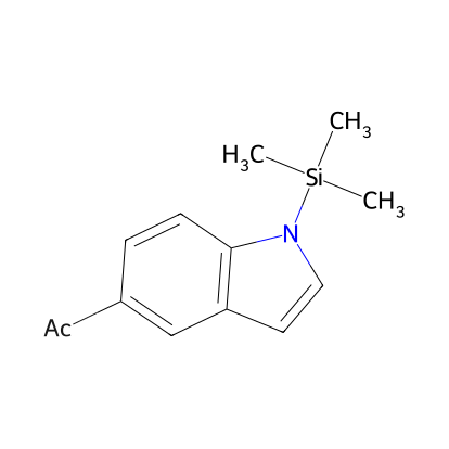 CC(=O)c1ccc2c(ccn2[Si](C)(C)C)c1